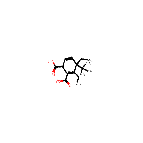 CCC1=C(C(=O)O)C(C(=O)O)C=CC1(CC)C(C)(C)C